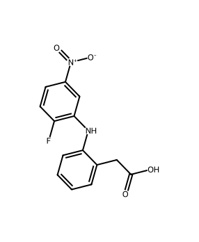 O=C(O)Cc1ccccc1Nc1cc([N+](=O)[O-])ccc1F